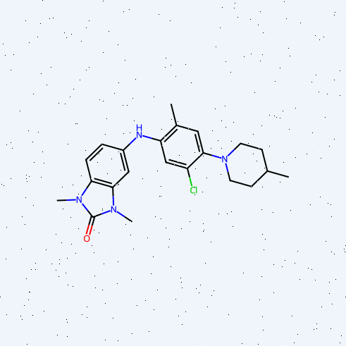 Cc1cc(N2CCC(C)CC2)c(Cl)cc1Nc1ccc2c(c1)n(C)c(=O)n2C